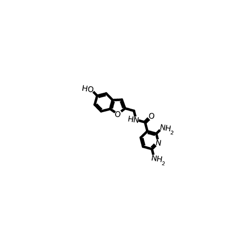 Nc1ccc(C(=O)NCc2cc3cc(O)ccc3o2)c(N)n1